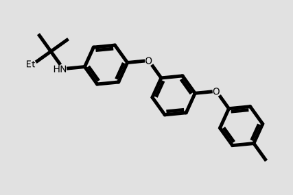 CCC(C)(C)Nc1ccc(Oc2cccc(Oc3ccc(C)cc3)c2)cc1